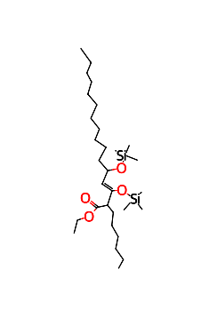 CCCCCCCCCCCC(C=C(O[Si](C)(C)C)C(CCCCCC)C(=O)OCC)O[Si](C)(C)C